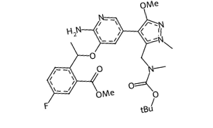 COC(=O)c1cc(F)ccc1C(C)Oc1cc(-c2c(OC)nn(C)c2CN(C)C(=O)OC(C)(C)C)cnc1N